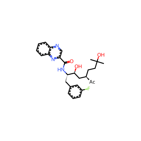 CC(=O)[C@H](CCC(C)(C)O)C[C@H](O)[C@H](Cc1cccc(F)c1)NC(=O)c1cnc2ccccc2n1